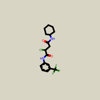 O=C(CC(Cl)C(=O)Nc1cccc(C(F)(F)F)c1)NC1CCCCC1